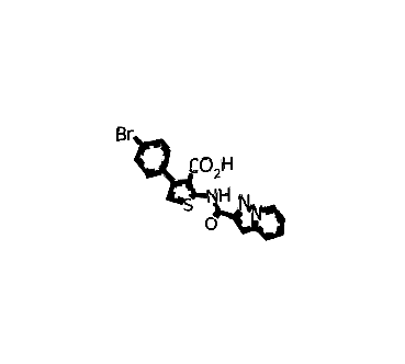 O=C(Nc1scc(-c2ccc(Br)cc2)c1C(=O)O)c1cc2ccccn2n1